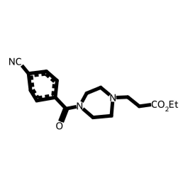 CCOC(=O)CCN1CCN(C(=O)c2ccc(C#N)cc2)CC1